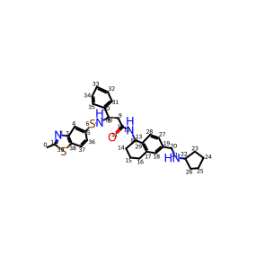 Cc1nc2cc(SN[C@H](CC(=O)N[C@@H]3CCCc4cc(CNC5CCCC5)ccc43)c3ccccc3)ccc2s1